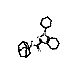 O=C(NC12CC3CC(CC(C3)C1)C2)c1nn(C2CCCCC2)c2c1CCCC2